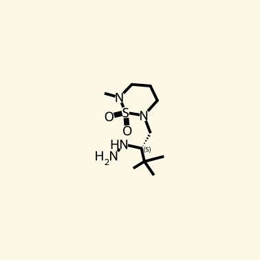 CN1CCCN(C[C@@H](NN)C(C)(C)C)S1(=O)=O